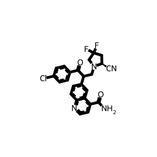 N#C[C@@H]1CC(F)(F)CN1CC(C(=O)c1ccc(Cl)cc1)c1ccc2nccc(C(N)=O)c2c1